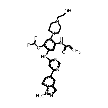 C=CC(=O)Nc1cc(Nc2cc(-c3ccc4c(cnn4C)c3)ncn2)c(OC(F)F)cc1N1CCN(CCO)CC1